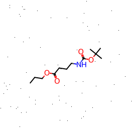 CCCOC(=O)CCCNC(=O)OC(C)(C)C